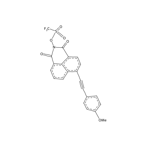 COc1ccc(C#Cc2ccc3c4c(cccc24)C(=O)N(OS(=O)(=O)C(F)(F)F)C3=O)cc1